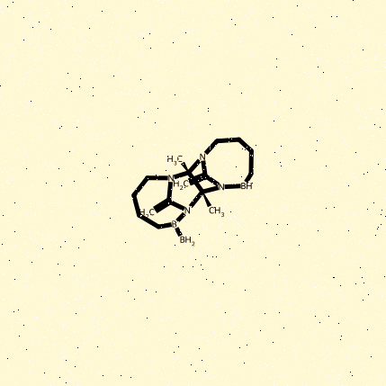 BB1CCCCN2C(=C)N1[C@@]1(C)N3BCCCCN(C3=C)[C@@]21C